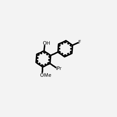 COc1ccc(O)c(-c2ccc(F)cc2)c1C(C)C